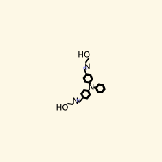 OCC/N=C/c1ccc(N(c2ccccc2)c2ccc(/C=N/CCO)cc2)cc1